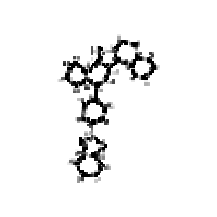 c1ccc2c(c1)ccc1[nH]c3c4ccccc4c(-c4ccc(-c5nc6ccccc6s5)cc4)cc3c12